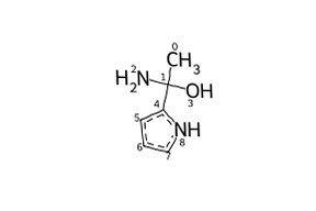 CC(N)(O)c1ccc[nH]1